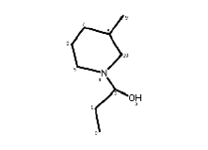 CCC(O)N1CCCC(C)C1